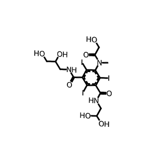 CN(C(=O)CO)c1c(I)c(C(=O)NCC(O)O)c(I)c(C(=O)NCC(O)CO)c1I